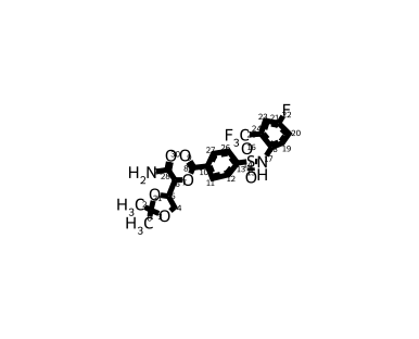 CC1(C)OCC(C(OC(=O)c2ccc(S(=O)(=O)Nc3ccc(F)cc3C(F)(F)F)cc2)C(N)=O)O1